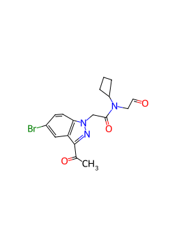 CC(=O)c1nn(CC(=O)N(CC=O)C2CCC2)c2ccc(Br)cc12